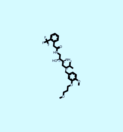 COCCCOc1cc(C[C@@H](C[C@H](N)[C@@H](O)CNC(=O)Cc2ccccc2C(F)(F)F)C(C)C)ccc1OC